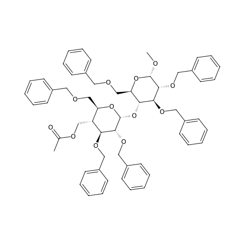 CO[C@H]1O[C@H](COCc2ccccc2)[C@@H](O[C@H]2O[C@H](COCc3ccccc3)[C@@H](COC(C)=O)[C@H](OCc3ccccc3)[C@H]2OCc2ccccc2)[C@H](OCc2ccccc2)[C@H]1OCc1ccccc1